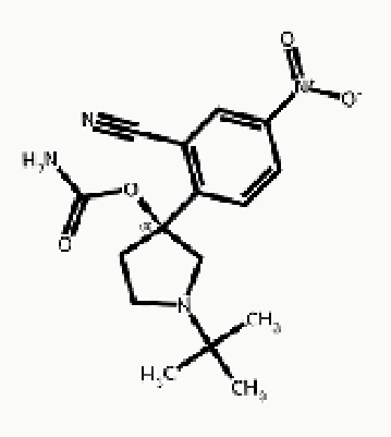 CC(C)(C)N1CC[C@](OC(N)=O)(c2ccc([N+](=O)[O-])cc2C#N)C1